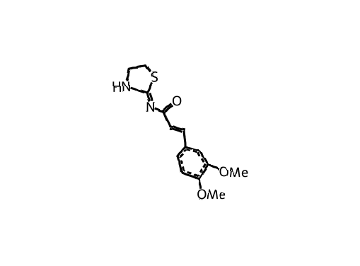 COc1ccc(/C=C/C(=O)/N=C2/NCCS2)cc1OC